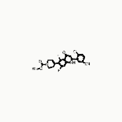 CC(C)(C)OC(=O)N1CC=C(c2c(F)cc3[nH]c(-c4cc(C#N)ccc4Cl)cc(=O)c3c2F)CC1